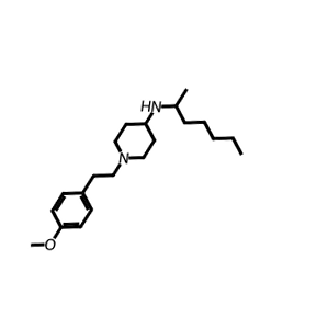 CCCCCC(C)NC1CCN(CCc2ccc(OC)cc2)CC1